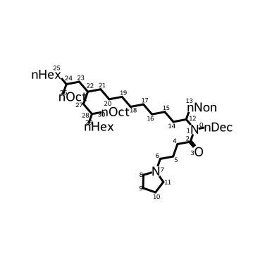 CCCCCCCCCCN(C(=O)CCCN1CCCC1)C(CCCCCCCCC)CCCCCCCCC(CC(CCCCCC)CCCCCCCC)CC(CCCCCC)CCCCCCCC